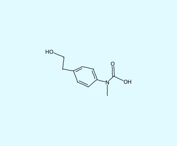 CN(C(=O)O)c1ccc(CCO)cc1